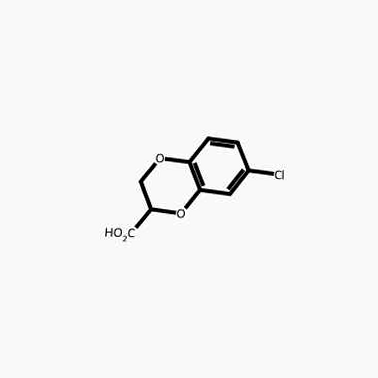 O=C(O)C1COc2ccc(Cl)cc2O1